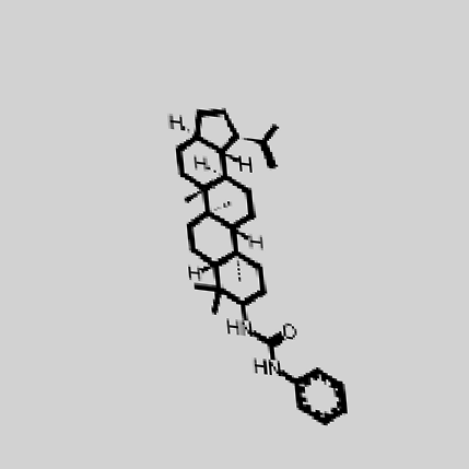 C=C(C)[C@@H]1CC[C@@H]2CC[C@]3(C)[C@H](CC[C@@H]4[C@@]5(C)CCC(NC(=O)Nc6ccccc6)C(C)(C)[C@@H]5CC[C@]43C)[C@H]21